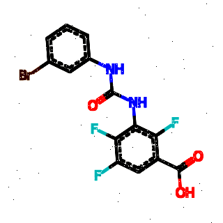 O=C(Nc1cccc(Br)c1)Nc1c(F)c(F)cc(C(=O)O)c1F